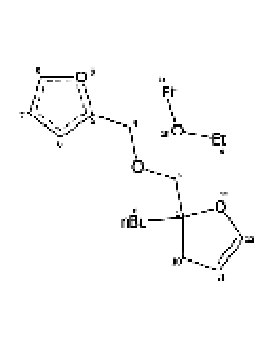 CCCCC1(COCc2ccco2)CC=CO1.CCOCC